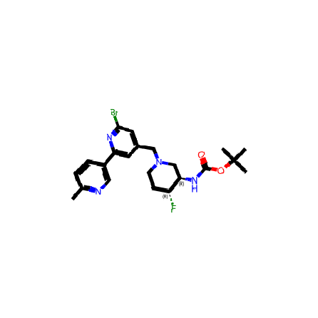 Cc1ccc(-c2cc(CN3CC[C@@H](F)[C@H](NC(=O)OC(C)(C)C)C3)cc(Br)n2)cn1